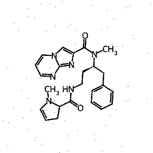 CN1C=CCC1C(=O)NCC[C@H](Cc1ccccc1)N(C)C(=O)c1cn2cccnc2n1